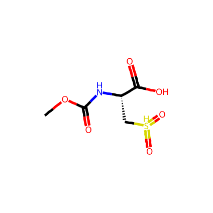 COC(=O)N[C@@H](C[SH](=O)=O)C(=O)O